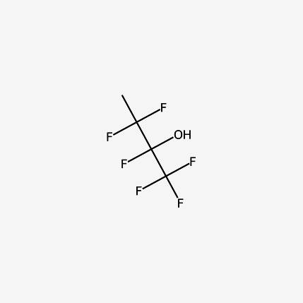 CC(F)(F)C(O)(F)C(F)(F)F